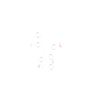 CCOc1ccc(C(C)(C)C(Cc2ccc(F)c(Oc3ccccc3)c2)OC(Cc2ccc(F)c(Oc3ccccc3)c2)C(C)(C)c2ccc(OCC)cc2)cc1